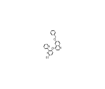 CCc1ccc(Oc2ccnc3ccc(OCc4ccccc4)cc23)c(-c2ccccn2)n1